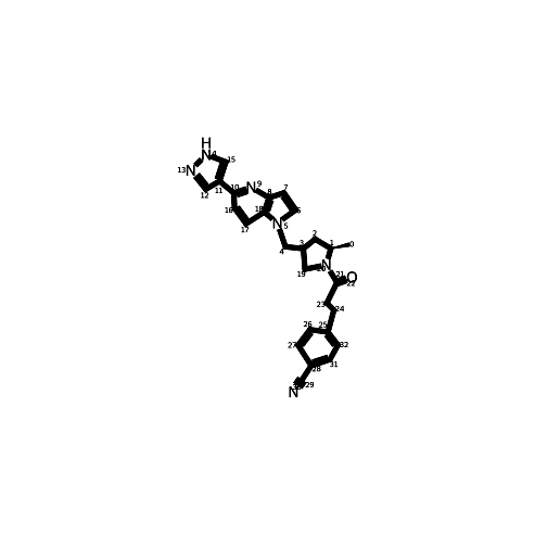 C[C@@H]1CC(Cn2ccc3nc(-c4cn[nH]c4)ccc32)CN1C(=O)CCc1ccc(C#N)cc1